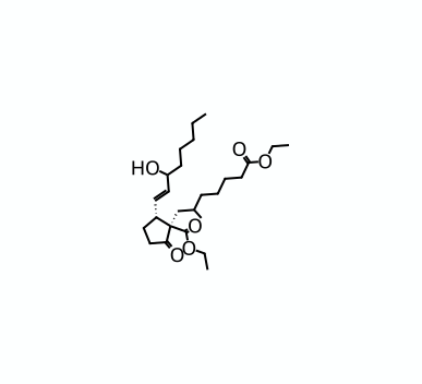 CCCCCC(O)C=C[C@H]1CCC(=O)[C@]1(CC(C)CCCCC(=O)OCC)C(=O)OCC